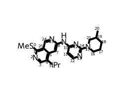 CSc1ncc(C(C)C)c2cc(Nc3ccnc(N4CCCC(C)C4)n3)ncc12